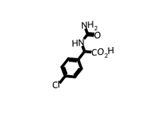 NC(=O)NC(C(=O)O)c1ccc(Cl)cc1